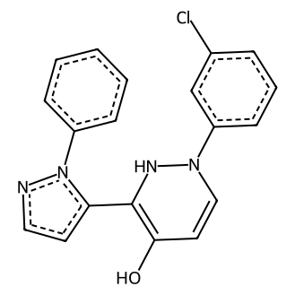 OC1=C(c2ccnn2-c2ccccc2)NN(c2cccc(Cl)c2)C=C1